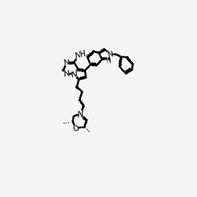 C[C@@H]1CN(CCCCc2cc(-c3ccc4cn(Cc5ccccc5)nc4c3)c3c(N)ncnn23)C[C@H](C)O1